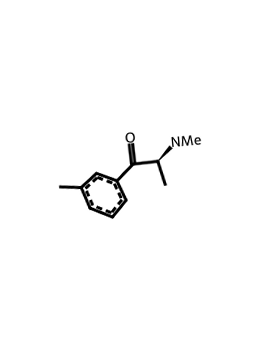 CN[C@@H](C)C(=O)c1cccc(C)c1